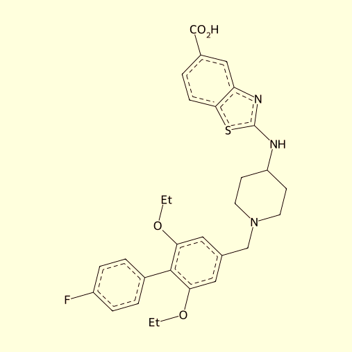 CCOc1cc(CN2CCC(Nc3nc4cc(C(=O)O)ccc4s3)CC2)cc(OCC)c1-c1ccc(F)cc1